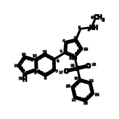 CNCc1cc(-c2ccc3[nH]ccc3c2)n(S(=O)(=O)c2ccccc2)c1